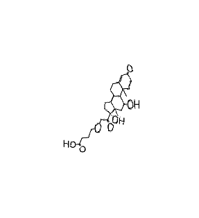 CC12C=CC(=O)C=C1CCC1C2C(O)CC2(C)C1CC[C@]2(O)C(=O)COCCCC(=O)O